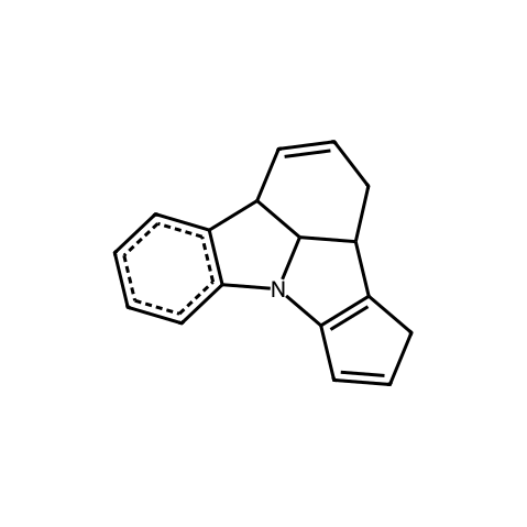 C1=CC2=C(C1)C1CC=CC3c4ccccc4N2C13